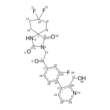 O=C(CN1C(=O)NC2(CCC(F)(F)CC2)C1=O)c1ccc(-c2cccnc2CO)c(F)c1